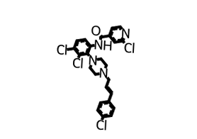 O=C(Nc1ccc(Cl)c(Cl)c1N1CCN(CC=Cc2ccc(Cl)cc2)CC1)c1ccnc(Cl)c1